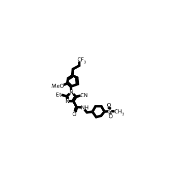 CCc1nc(C(=O)NCC2CCC(S(C)(=O)=O)CC2)c(C#N)n1-c1ccc(CCC(F)(F)F)cc1OC